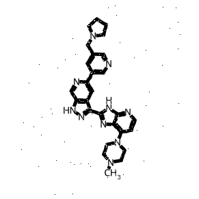 CN1CCN(c2ccnc3[nH]c(-c4n[nH]c5cnc(-c6cncc(CN7CCCC7)c6)cc45)nc23)CC1